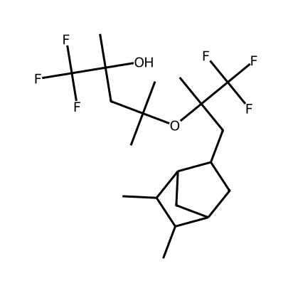 CC1C2CC(CC(C)(OC(C)(C)CC(C)(O)C(F)(F)F)C(F)(F)F)C(C2)C1C